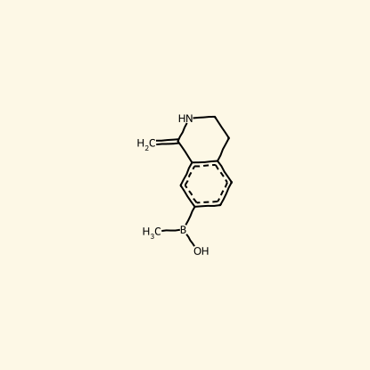 C=C1NCCc2ccc(B(C)O)cc21